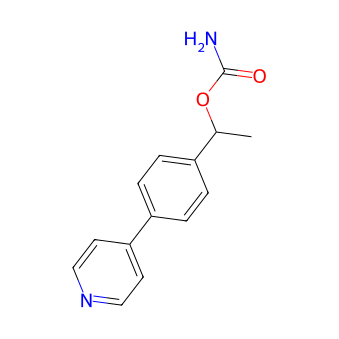 CC(OC(N)=O)c1ccc(-c2ccncc2)cc1